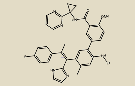 CCNc1cc(C)c(/C(=C(\C)c2ccc(F)cc2)c2ncc[nH]2)cc1-c1ccc(OC)c(C(=O)NC2(c3ncccn3)CC2)c1